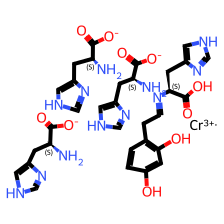 N[C@@H](Cc1c[nH]cn1)C(=O)[O-].N[C@@H](Cc1c[nH]cn1)C(=O)[O-].N[C@@H](Cc1c[nH]cn1)C(=O)[O-].O=C(O)[C@H](Cc1c[nH]cn1)N=CCc1ccc(O)cc1O.[Cr+3]